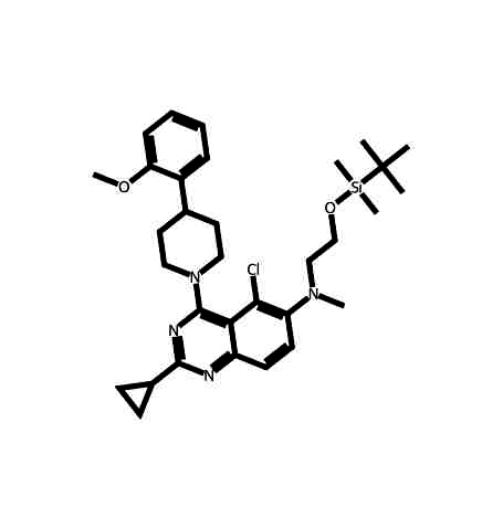 COc1ccccc1C1CCN(c2nc(C3CC3)nc3ccc(N(C)CCO[Si](C)(C)C(C)(C)C)c(Cl)c23)CC1